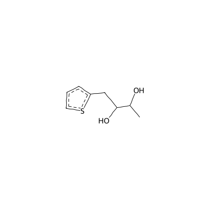 CC(O)C(O)Cc1cccs1